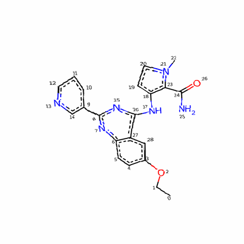 CCOc1ccc2nc(-c3cccnc3)nc(Nc3ccn(C)c3C(N)=O)c2c1